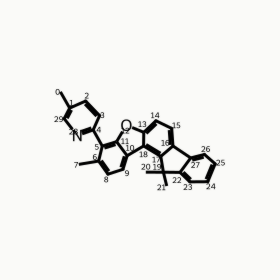 Cc1ccc(-c2c(C)ccc3c2oc2ccc4c(c23)C(C)(C)c2ccccc2-4)nc1